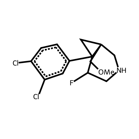 COCC12CNCC(F)C1(c1ccc(Cl)c(Cl)c1)C2